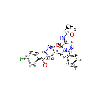 CCC(=O)Nc1cnc(-c2ccc(F)cc2)n(Cc2cncc(C(=O)c3ccc(F)cc3)c2)c1=O